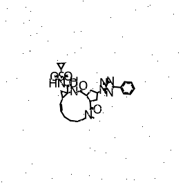 CN1CCCC/C=C\C2CC2(C(=O)NS(=O)(=O)C2CC2)NC(=O)C2CC(n3nnc(-c4ccccc4)n3)CC2C1=O